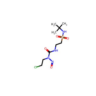 CC(C)(C)NS(=O)(=O)CCNC(=O)N(CCCl)N=O